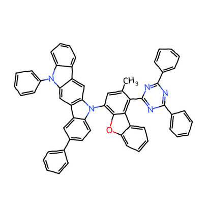 Cc1cc(-n2c3ccc(-c4ccccc4)cc3c3cc4c(cc32)c2ccccc2n4-c2ccccc2)c2oc3ccccc3c2c1-c1nc(-c2ccccc2)nc(-c2ccccc2)n1